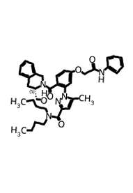 CCCCN(CCCC)C(=O)c1cc(C)n(-c2cc(OCC(=O)Nc3ccccc3)ccc2C(=O)N2Cc3ccccc3C[C@H]2CO)n1